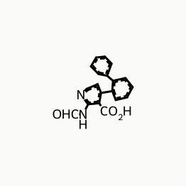 O=CNc1nccc(-c2ccccc2-c2ccccc2)c1C(=O)O